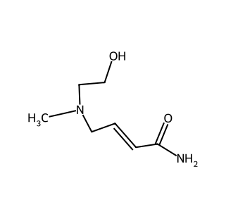 CN(CC=CC(N)=O)CCO